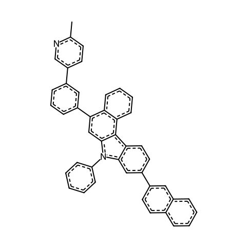 Cc1ccc(-c2cccc(-c3cc4c(c5ccccc35)c3ccc(-c5ccc6ccccc6c5)cc3n4-c3ccccc3)c2)cn1